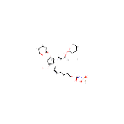 CCCCC[C@@H](/C=C/[C@@H]1[C@@H](C/C=C\CCCCOC(=O)NS(C)(=O)=O)[C@@H](O)C[C@H]1OC1CCCCO1)OC1CCCCO1